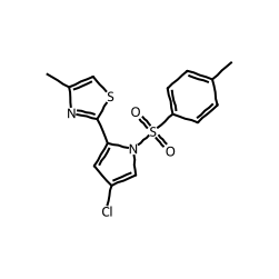 Cc1ccc(S(=O)(=O)n2cc(Cl)cc2-c2nc(C)cs2)cc1